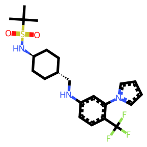 CC(C)(C)S(=O)(=O)N[C@H]1CC[C@H](CNc2ccc(C(F)(F)F)c(-n3cccc3)c2)CC1